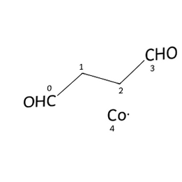 O=CCCC=O.[Co]